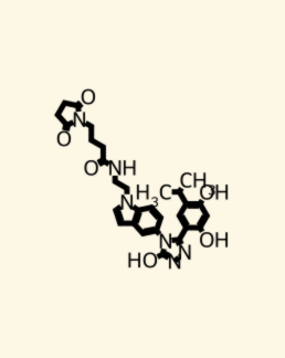 CC(C)c1cc(-c2nnc(O)n2-c2ccc3c(ccn3CCNC(=O)CCCN3C(=O)CCC3=O)c2)c(O)cc1O